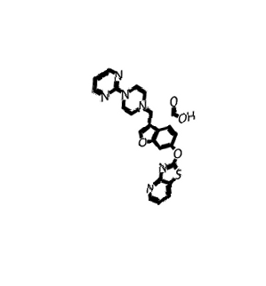 O=CO.c1cnc(N2CCN(Cc3coc4cc(Oc5nc6ncccc6s5)ccc34)CC2)nc1